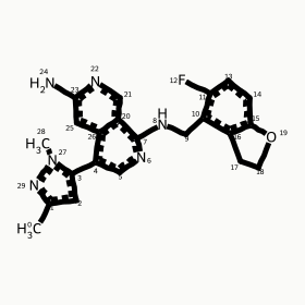 Cc1cc(-c2cnc(NCc3c(F)ccc4c3CCO4)c3cnc(N)cc23)n(C)n1